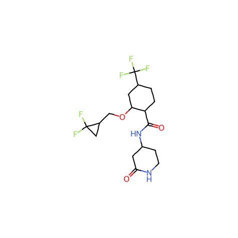 O=C1CC(NC(=O)C2CCC(C(F)(F)F)CC2OCC2CC2(F)F)CCN1